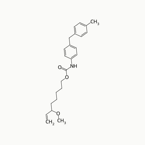 C=CC(CCCCCOC(=O)Nc1ccc(Cc2ccc(C)cc2)cc1)OC